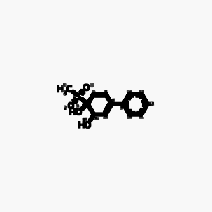 CS(=O)(=O)C1(O)C=CC(c2ccccc2)=CC1O